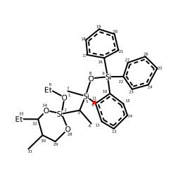 CCO[Si]1(C(C)[Si](C)(C)O[Si](c2ccccc2)(c2ccccc2)c2ccccc2)OCC(C)C(CC)O1